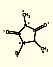 CC1C(=O)N(C)C(=O)N1Br